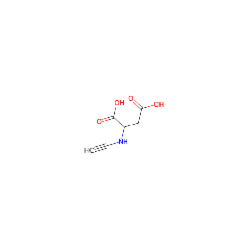 C#CNC(CC(=O)O)C(=O)O